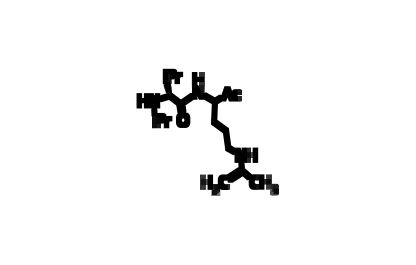 C=C(C)NCCCC(NC(=O)[C@@H](NC(C)C)C(C)C)C(C)=O